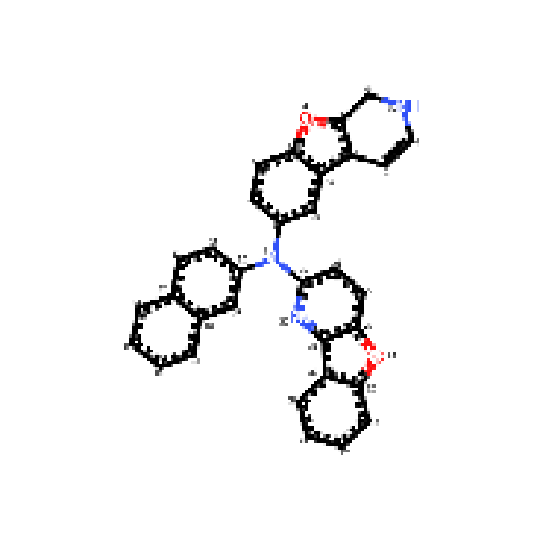 C1=Cc2c(oc3ccc(N(c4ccc5ccccc5c4)c4ccc5oc6ccccc6c5n4)cc23)CN1